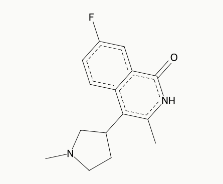 Cc1[nH]c(=O)c2cc(F)ccc2c1C1CCN(C)C1